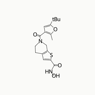 Cc1oc(C(C)(C)C)cc1C(=O)N1CCc2cc(C(=O)NO)sc2C1